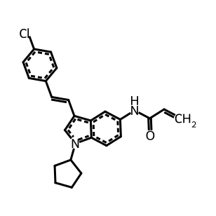 C=CC(=O)Nc1ccc2c(c1)c(C=Cc1ccc(Cl)cc1)cn2C1CCCC1